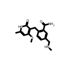 CNCc1ccc(Cc2c(SC)cc(C)[nH]c2=O)c(C(N)=O)c1